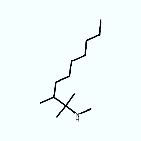 CCCCCCCC(C)C(C)(C)NC